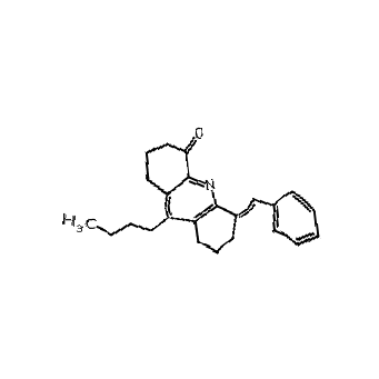 CCCCc1c2c(nc3c1CCCC3=Cc1ccccc1)C(=O)CCC2